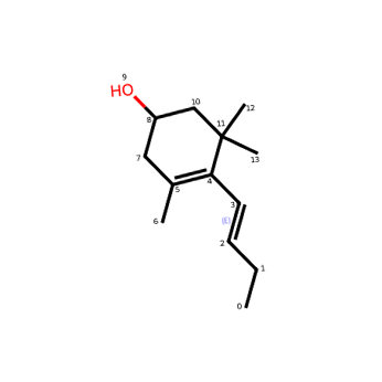 CC/C=C/C1=C(C)CC(O)CC1(C)C